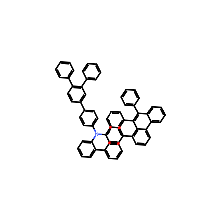 c1ccc(-c2ccc(-c3ccc(N(c4ccc(-c5cccc6c5c(-c5ccccc5)c(-c5ccccc5)c5ccccc56)cc4)c4ccccc4-c4ccccc4)cc3)cc2-c2ccccc2)cc1